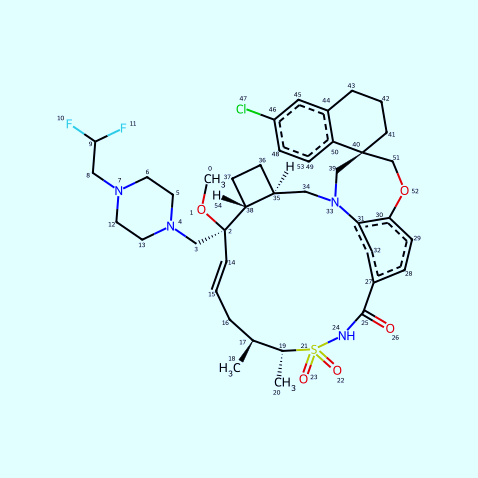 CO[C@]1(CN2CCN(CC(F)F)CC2)/C=C/C[C@H](C)[C@@H](C)S(=O)(=O)NC(=O)c2ccc3c(c2)N(C[C@@H]2CC[C@H]21)C[C@@]1(CCCc2cc(Cl)ccc21)CO3